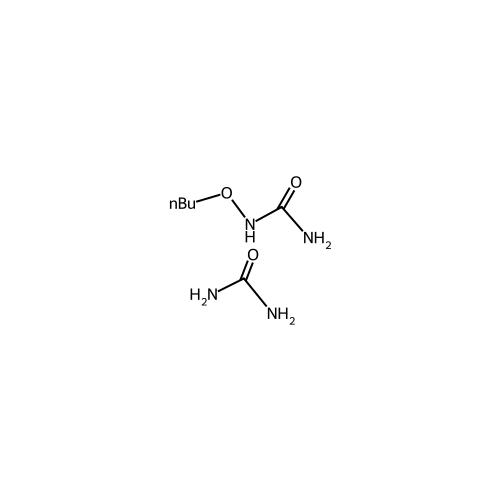 CCCCONC(N)=O.NC(N)=O